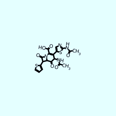 CC(=O)Nc1ncc(C2=C(C(=O)O)N3C(=O)C(c4cccs4)C3C(=O)C2NC(C)=O)s1